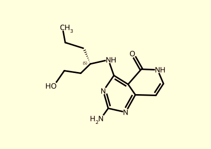 CCC[C@@H](CCO)Nc1nc(N)nc2cc[nH]c(=O)c12